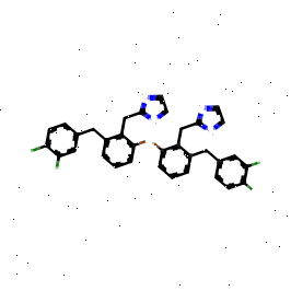 Clc1ccc(Cc2cccc(Sc3cccc(Cc4ccc(Cl)c(Cl)c4)c3Cc3ncc[nH]3)c2Cc2ncc[nH]2)cc1Cl